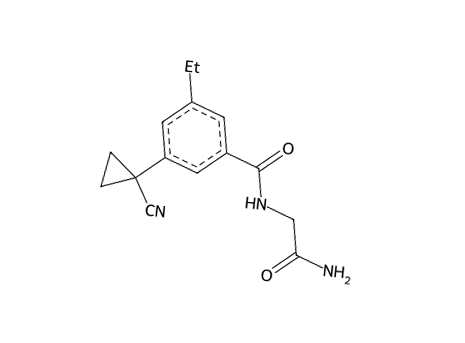 CCc1cc(C(=O)NCC(N)=O)cc(C2(C#N)CC2)c1